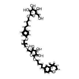 CC(C)(COCC1OC(OCCCCc2ccc3c(c2)C(C)(C)CCO3)C(O)C(O)C1O)COc1ccc(CCCCOC2OC(CO)C(O)C(O)C2O)cc1